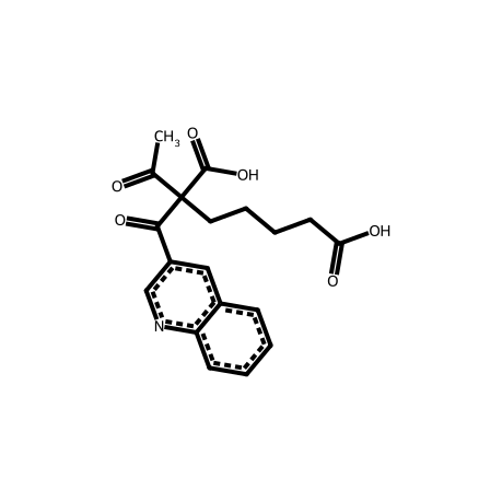 CC(=O)C(CCCCC(=O)O)(C(=O)O)C(=O)c1cnc2ccccc2c1